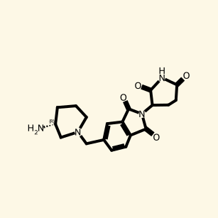 N[C@@H]1CCCN(Cc2ccc3c(c2)C(=O)N(C2CCC(=O)NC2=O)C3=O)C1